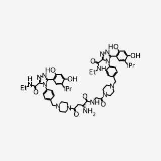 CCNC(=O)c1nnc(-c2cc(C(C)C)c(O)cc2O)n1-c1ccc(CN2CCN(C(=O)CNC(=O)[C@@H](N)CC(=O)N3CCN(Cc4ccc(-n5c(C(=O)NCC)nnc5-c5cc(C(C)C)c(O)cc5O)cc4)CC3)CC2)cc1